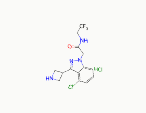 Cl.O=C(Cn1nc(C2CNC2)c2c(Cl)cccc21)NCC(F)(F)F